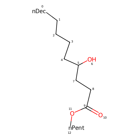 CCCCCCCCCCCCCCC(O)CCC(=O)OCCCCC